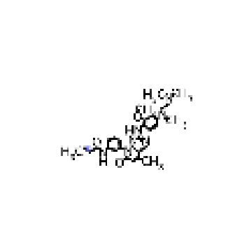 C/C=C/C(=O)Nc1cccc(-n2c(=O)cc(C)c3cnc(Nc4ccc(N(C)CCN(C)C)cc4OC)nc32)c1